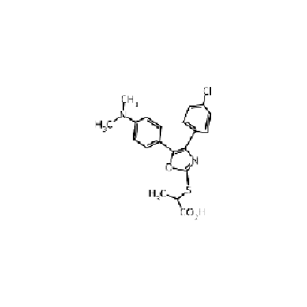 CC(Sc1nc(-c2ccc(Cl)cc2)c(-c2ccc(N(C)C)cc2)o1)C(=O)O